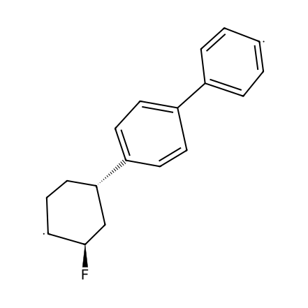 F[C@H]1[CH]CC[C@H](c2ccc(-c3cc[c]cc3)cc2)C1